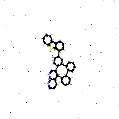 c1ccc2c(c1)-c1cc(-c3cccc4c3sc3ccccc34)ccc1-c1cnc3ncccc3c1-c1ccccc1-2